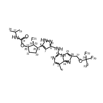 Cc1cnc(Nc2cc([C@H]3CC[C@@H](OC(=O)NC(C)C)[C@H]3F)[nH]n2)n2cc(COC(F)(F)F)nc12